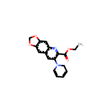 CCOC(=O)c1nc2cc3c(cc2cc1N1C=CC=CC1)OCO3